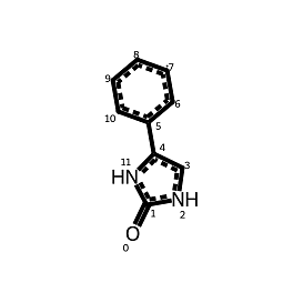 O=c1[nH]cc(-c2c[c]ccc2)[nH]1